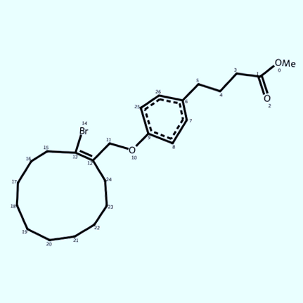 COC(=O)CCCc1ccc(OC/C2=C(\Br)CCCCCCCCCC2)cc1